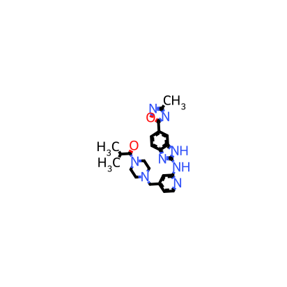 Cc1noc(-c2ccc3nc(Nc4cc(CN5CCN(C(=O)C(C)C)CC5)ccn4)[nH]c3c2)n1